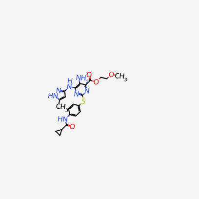 COCCOC(=O)c1nc(Sc2ccc(NC(=O)C3CC3)cc2)nc(Nc2cc(C)[nH]n2)c1N